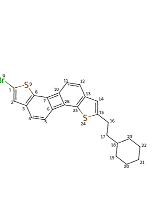 Brc1cc2ccc3c(c2s1)=c1ccc2cc(CCC4CCCCC4)sc2c1=3